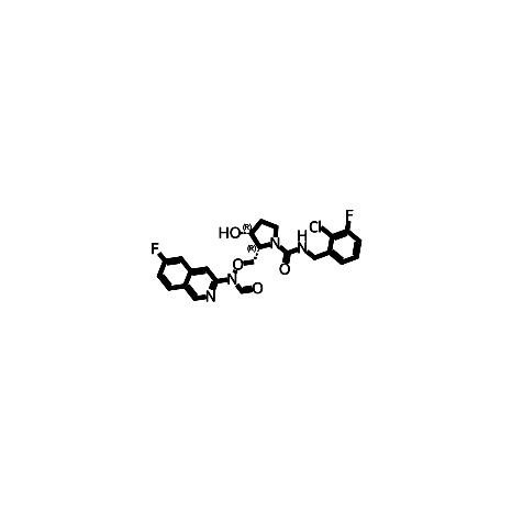 O=CN(OC[C@@H]1[C@H](O)CCN1C(=O)NCc1cccc(F)c1Cl)c1cc2cc(F)ccc2cn1